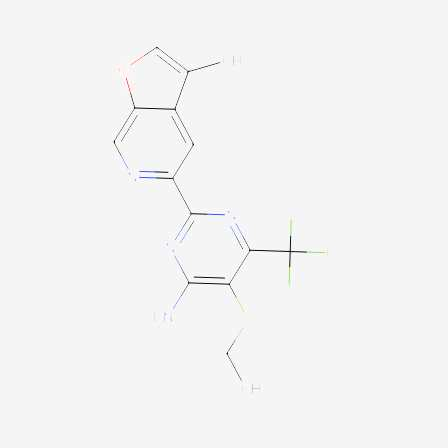 CCSc1c(N)nc(-c2cc3c(C)coc3cn2)nc1C(F)(F)F